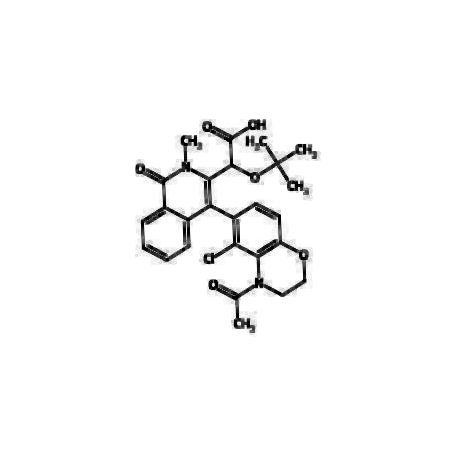 CC(=O)N1CCOc2ccc(-c3c(C(OC(C)(C)C)C(=O)O)n(C)c(=O)c4ccccc34)c(Cl)c21